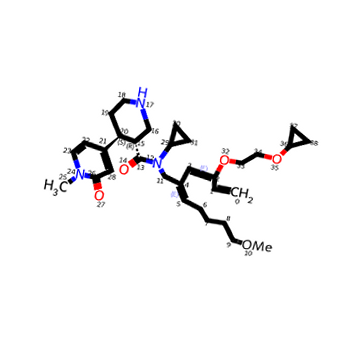 C=C/C(=C\C(=C/CCCCOC)CN(C(=O)[C@H]1CNCC[C@@H]1c1ccn(C)c(=O)c1)C1CC1)OCCOC1CC1